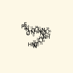 Cn1c(C(=O)N2CC(F)(F)C2)cc2c1CN(c1nc3c(c(Nc4ccc(-c5cn[nH]c5)cc4)n1)CCC3)CC2